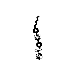 CCCCCCc1ccc(-c2ncc(-c3ccc(OC(=O)[C@H]4COC(C)(C)O4)cc3)cn2)cc1